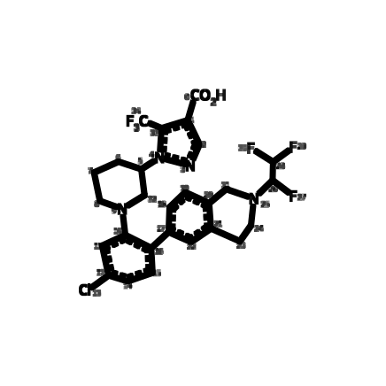 O=C(O)c1cnn(C2CCCN(c3cc(Cl)ccc3-c3ccc4c(c3)CCN(C(F)C(F)F)C4)C2)c1C(F)(F)F